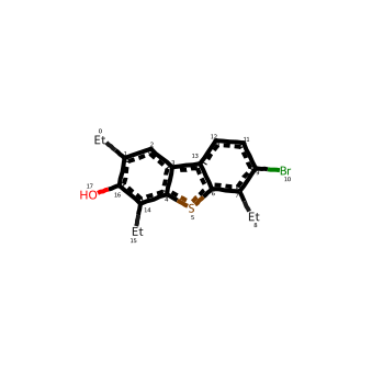 CCc1cc2c(sc3c(CC)c(Br)ccc32)c(CC)c1O